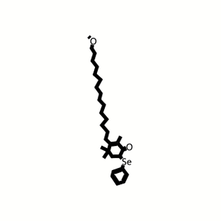 COCCCCCCCCCCCCCCCC1=C(C)C(=O)C([Se]c2ccccc2)CC1(C)C